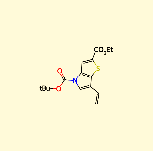 C=Cc1cn(C(=O)OC(C)(C)C)c2cc(C(=O)OCC)sc12